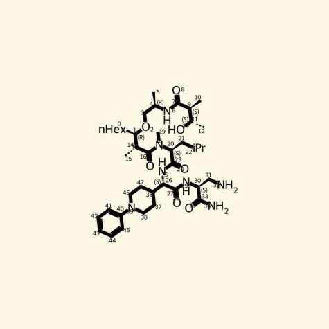 CCCCCC[C@@H](OC[C@@H](C)NC(=O)[C@@H](C)[C@H](C)O)[C@@H](C)C(=O)N(C)[C@@H](CC(C)C)C(=O)N[C@H](C(=O)N[C@@H](CN)C(N)=O)C1CCN(c2ccccc2)CC1